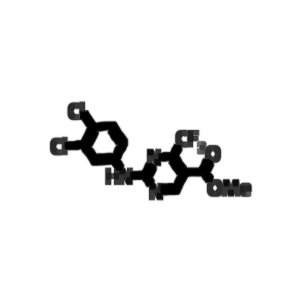 COC(=O)c1cnc(Nc2ccc(Cl)c(Cl)c2)nc1C(F)(F)F